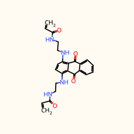 C=CC(=O)NCCNc1ccc(NCCNC(=O)C=C)c2c1C(=O)c1ccccc1C2=O